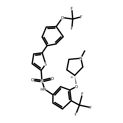 CN1CC[C@@H](Oc2cc(NS(=O)(=O)c3ccc(-c4ccc(OC(F)(F)F)cc4)s3)ccc2C(F)(F)F)C1